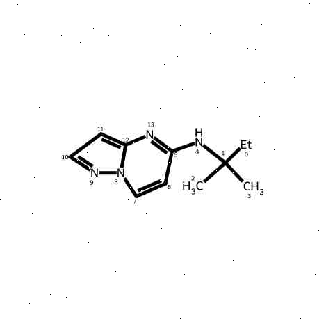 CCC(C)(C)Nc1ccn2nccc2n1